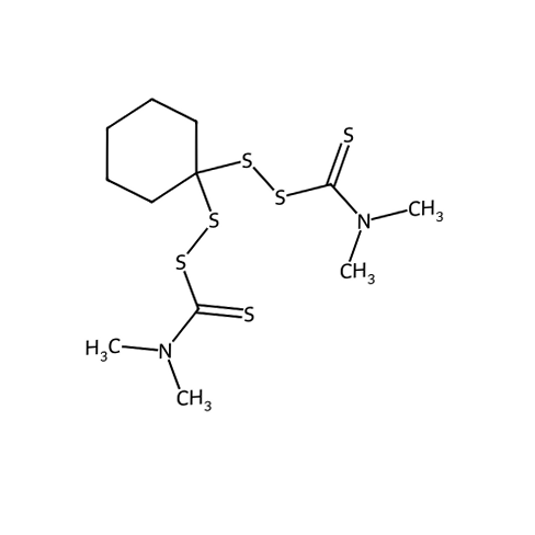 CN(C)C(=S)SSC1(SSC(=S)N(C)C)CCCCC1